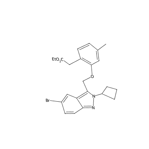 CCOC(=O)Cc1ccc(C)cc1OCc1c2cc(Br)ccc2nn1C1CCC1